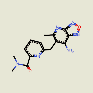 Cc1nc2nonc2c(N)c1Cc1cccc(C(=O)N(C)C)n1